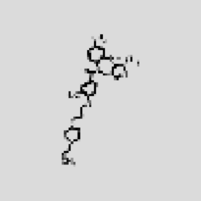 CCCN1CCN(CCCOc2ccc(C(=O)N3Cc4cnn(C)c4Nc4cc(C)ccc43)cc2C)CC1